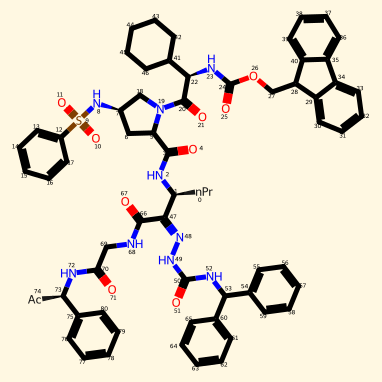 CCC[C@H](NC(=O)C1C[C@@H](NS(=O)(=O)c2ccccc2)CN1C(=O)[C@H](NC(=O)OCC1c2ccccc2-c2ccccc21)C1CCCCC1)C(=NNC(=O)NC(c1ccccc1)c1ccccc1)C(=O)NCC(=O)N[C@H](C(C)=O)c1ccccc1